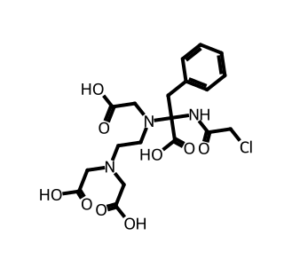 O=C(O)CN(CCN(CC(=O)O)C(Cc1ccccc1)(NC(=O)CCl)C(=O)O)CC(=O)O